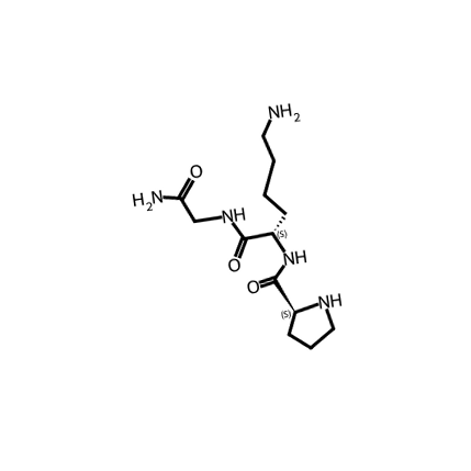 NCCCC[C@H](NC(=O)[C@@H]1CCCN1)C(=O)NCC(N)=O